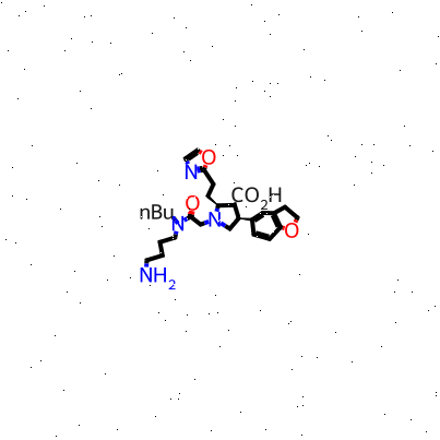 CCCCN(CCCCN)C(=O)CN1C[C@H](c2ccc3c(c2)CCO3)[C@@H](C(=O)O)[C@@H]1CCc1ncco1